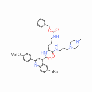 CCCCc1ccc2nc(-c3ccc(OC)cc3)cc(C(=O)NC(CCCNC(=O)OCc3ccccc3)C(=O)NCCCN3CCN(C)CC3)c2c1